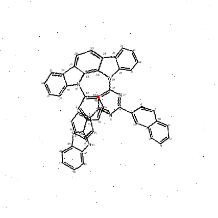 c1ccc(-c2nc(-c3ccc4ccccc4c3)nc(-n3c4ccccc4c4ccc5c6ccccc6n(-c6cccc(-c7nc8ccccc8s7)c6)c5c43)n2)cc1